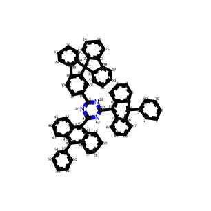 c1ccc(-c2c3ccccc3c(-c3nc(-c4ccc5c(c4)C4(c6ccccc6-c6ccccc64)c4ccccc4-5)nc(-c4c5ccccc5c(-c5ccccc5)c5ccccc45)n3)c3ccccc23)cc1